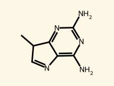 CC1C=Nc2c(N)nc(N)nc21